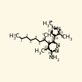 CCCCCCC(C)c1c(-c2cn(C)nc2C)nnc(N)c1C